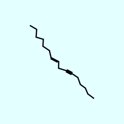 CCCCCC#CCC=CCCCCCC